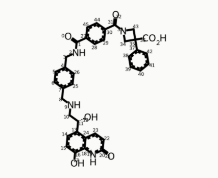 O=C(NCc1ccc(CNC[C@H](O)c2ccc(O)c3[nH]c(=O)ccc23)cc1)c1ccc(C(=O)N2CC(C(=O)O)(c3ccccc3)C2)cc1